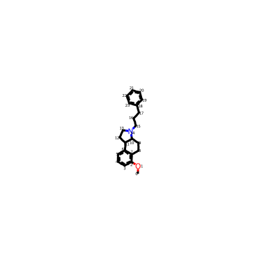 COc1cccc2c1CCC1C2CCN1CCCc1ccccc1